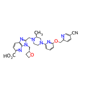 C[C@H]1CN(c2cccc(OCc3ccc(C#N)cn3)n2)CCN1Cc1nc2ccc(C(=O)O)nc2n1C[C@@H]1CCO1